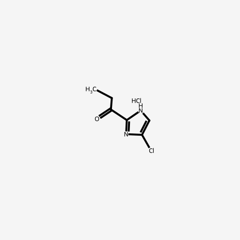 CCC(=O)c1nc(Cl)c[nH]1.Cl